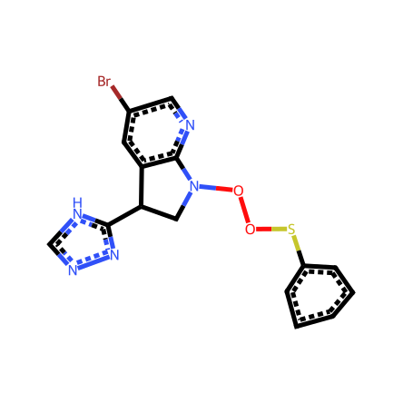 Brc1cnc2c(c1)C(c1nnc[nH]1)CN2OOSc1ccccc1